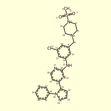 CS(=O)(=O)N1CCN(Cc2cc(Cl)cc(Nc3nccc(-c4ccnn4-c4ccccc4)n3)c2)CC1